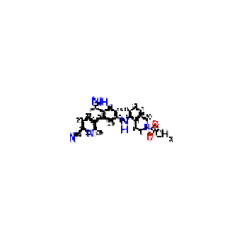 CS(=O)(=O)N1CCc2c(cccc2Nc2ccc(CN)c(-c3ccc(C#N)nc3)c2)C1